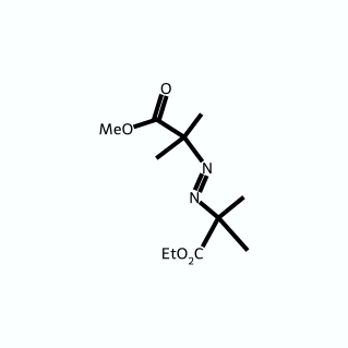 CCOC(=O)C(C)(C)/N=N/C(C)(C)C(=O)OC